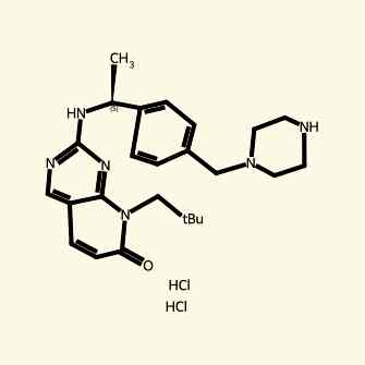 C[C@H](Nc1ncc2ccc(=O)n(CC(C)(C)C)c2n1)c1ccc(CN2CCNCC2)cc1.Cl.Cl